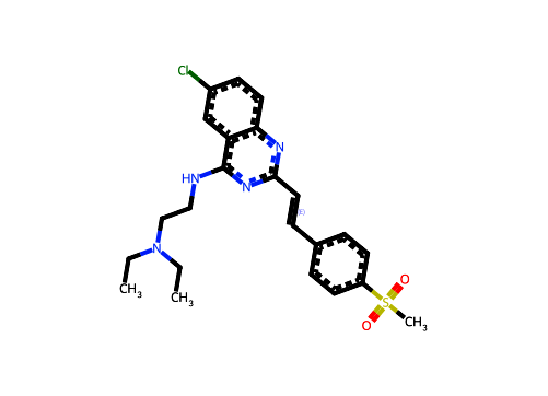 CCN(CC)CCNc1nc(/C=C/c2ccc(S(C)(=O)=O)cc2)nc2ccc(Cl)cc12